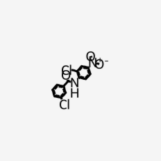 O=C(Nc1ccc([N+](=O)[O-])cc1Cl)c1cccc(Cl)c1